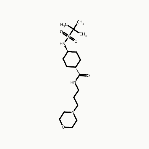 CC(C)(C)S(=O)(=O)N[C@H]1CC[C@H](C(=O)NCCCN2CCOCC2)CC1